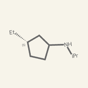 CC[C@H]1CCC(NC(C)C)C1